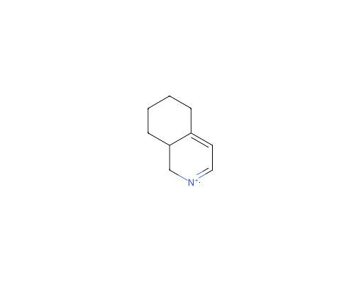 C1=[N+]CC2CCCCC2=C1